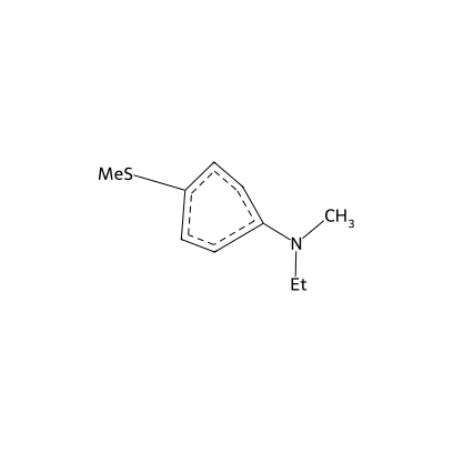 CCN(C)c1ccc(SC)cc1